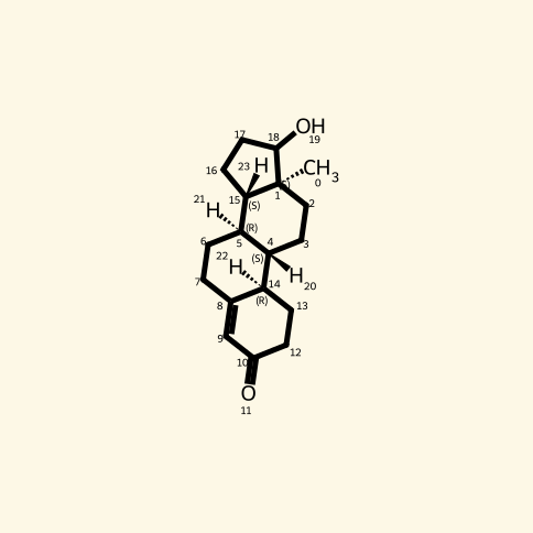 C[C@]12CC[C@H]3[C@@H](CCC4=CC(=O)CC[C@@H]43)[C@@H]1CCC2O